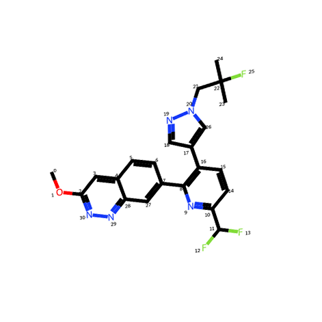 COc1cc2ccc(-c3nc(C(F)F)ccc3-c3cnn(CC(C)(C)F)c3)cc2nn1